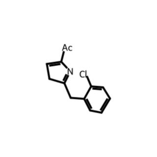 CC(=O)C1=CCC(Cc2ccccc2Cl)=N1